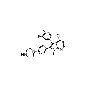 Cc1ccc(-c2c(-c3ccc(N4CCNCC4)cc3)n(C)c3nccc(Cl)c23)cc1F